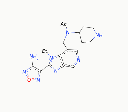 CCn1c(-c2nonc2N)nc2cncc(CN(C(C)=O)C3CCNCC3)c21